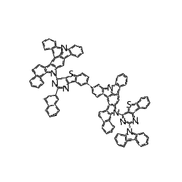 c1ccc2cc(-c3nc(-n4c5cc6c7ccccc7n7c8ccccc8c(c5c5ccc8ccccc8c54)c67)c4sc5ccc(-c6ccc7c8c9c%10ccc%11ccccc%11c%10n(-c%10nc(-n%11c%12ccccc%12c%12ccccc%12%11)nc%11c%10sc%10ccccc%10%11)c9cc9c%10ccccc%10n(c7c6)c98)cc5c4n3)ccc2c1